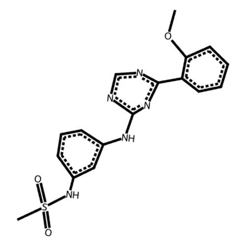 COc1ccccc1-c1ncnc(Nc2cccc(NS(C)(=O)=O)c2)n1